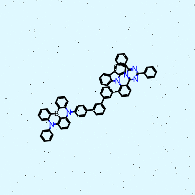 c1ccc(-c2nc(-c3ccccc3)nc(-c3cccc(-c4cccc(-c5cccc(-c6ccc(N7c8ccccc8B8c9ccccc9N(c9ccccc9)c9cccc7c98)cc6)c5)c4)c3-n3c4ccccc4c4ccccc43)n2)cc1